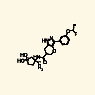 CC1(NC(=O)C2COc3c(-c4cccc(OC(F)F)c4)n[nH]c3C2)CCS(O)(O)C1